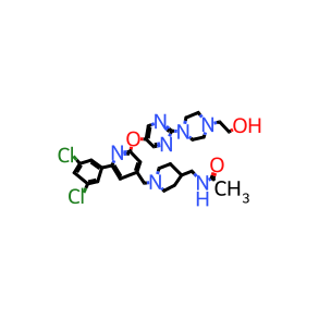 CC(=O)NCC1CCN(Cc2cc(Oc3cnc(N4CCN(CCO)CC4)nc3)nc(-c3cc(Cl)cc(Cl)c3)c2)CC1